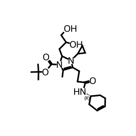 CC1=C(CCC(=O)N[C@H]2CC=CCC2)N(C2CC2)C(CC(O)CO)N1C(=O)OC(C)(C)C